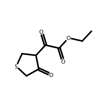 CCOC(=O)C(=O)C1CSCC1=O